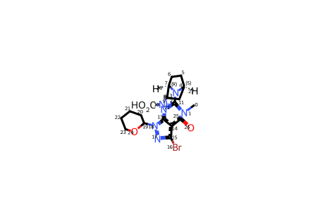 Cn1c(N2[C@H]3CC[C@@H]2[C@H](NC(=O)O)C3)nc2c(c(Br)nn2C2CCCCO2)c1=O